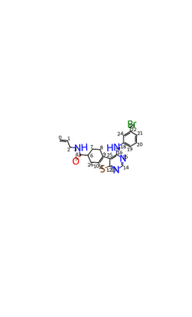 C=CCNC(=O)C1CCc2c(sc3ncnc(Nc4cccc(Br)c4)c23)C1